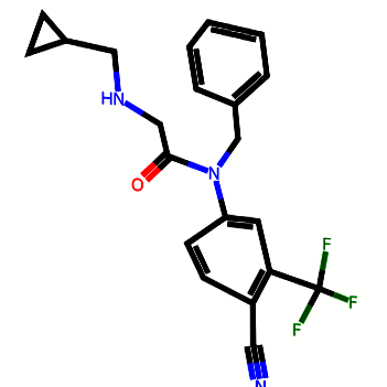 N#Cc1ccc(N(Cc2ccccc2)C(=O)CNCC2CC2)cc1C(F)(F)F